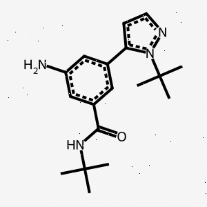 CC(C)(C)NC(=O)c1cc(N)cc(-c2ccnn2C(C)(C)C)c1